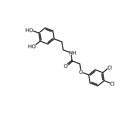 O=C(COc1ccc(Cl)c(Cl)c1)NCCc1ccc(O)c(O)c1